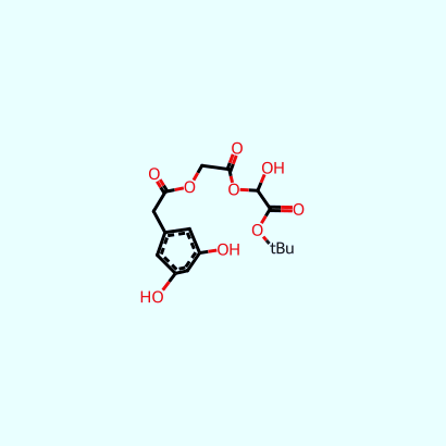 CC(C)(C)OC(=O)C(O)OC(=O)COC(=O)Cc1cc(O)cc(O)c1